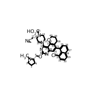 CN1CCC[C@H]1COc1nc(N2CCN(C(=O)O)[C@@H](CC#N)C2)c2c3c(c(-c4cccc5cccc(Cl)c45)cc2n1)CCCO3